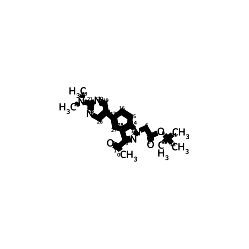 CC(=O)c1nn(CC(=O)OC(C)(C)C)c2ccc(-c3cnc(N(C)C)nc3)cc12